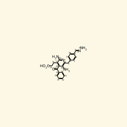 NN=Cc1ccc(Cc2nc(N)c(CCC(=O)O)c(C(=O)c3ccccc3)c2N)cc1